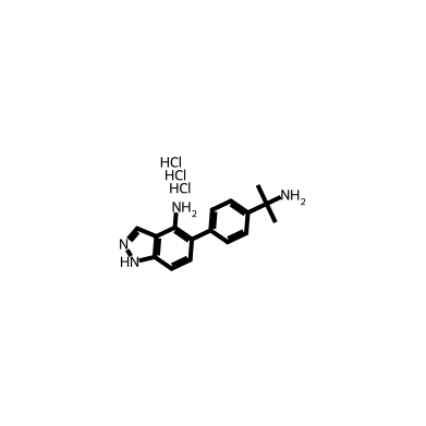 CC(C)(N)c1ccc(-c2ccc3[nH]ncc3c2N)cc1.Cl.Cl.Cl